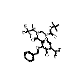 C[C@@H](N1CN(C(=O)OC(C)(C)C)n2cc(C(F)F)c(=O)c(OCc3ccccc3)c2C1=O)C(F)(F)F